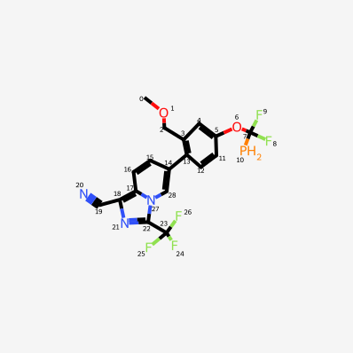 COCc1cc(OC(F)(F)P)ccc1-c1ccc2c(C#N)nc(C(F)(F)F)n2c1